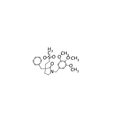 COc1cc(CN2CCC(CCS(C)(=O)=O)(Cc3ccccc3)C2=O)cc(OC)c1OC